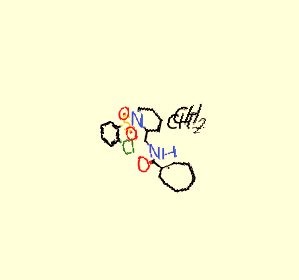 O=C(NCC1CCCCN1S(=O)(=O)c1ccccc1Cl)[C]1CCCCCCC1.[CH2].[CH2]